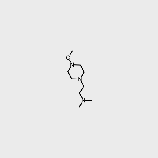 CON1CCN(CCN(C)C)CC1